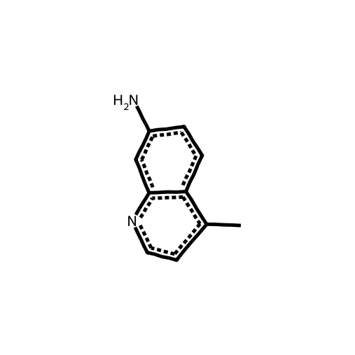 Cc1ccnc2cc(N)ccc12